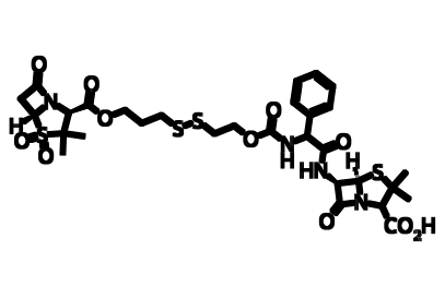 CC1(C)S[C@@H]2[C@H](NC(=O)C(NC(=O)OCCSSCCCOC(=O)[C@@H]3N4C(=O)C[C@H]4S(=O)(=O)C3(C)C)c3ccccc3)C(=O)N2C1C(=O)O